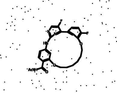 CC(=O)NC(=O)c1ccc2cc1OCCCCCCOc1cc(ccc1F)-c1nc(ncc1F)N2